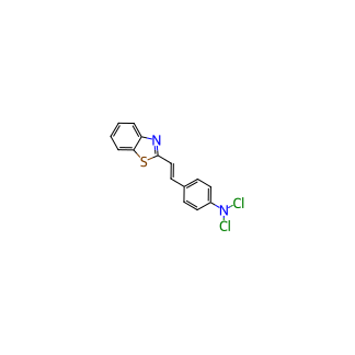 ClN(Cl)c1ccc(/C=C/c2nc3ccccc3s2)cc1